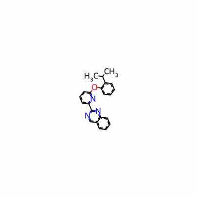 CC(C)c1ccccc1Oc1cccc(-c2ncc3ccccc3n2)n1